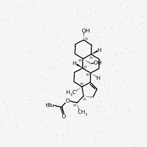 C[C@H](OC(=O)C(C)(C)C)[C@H]1CC=C2[C@@H]3CC[C@H]4C[C@@H](O)CC[C@]4(CO)[C@H]3CC[C@@]21C